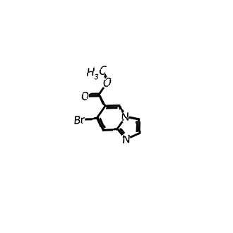 COC(=O)c1cn2ccnc2cc1Br